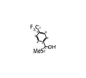 CSC(O)c1ccc(C(F)(F)F)cc1